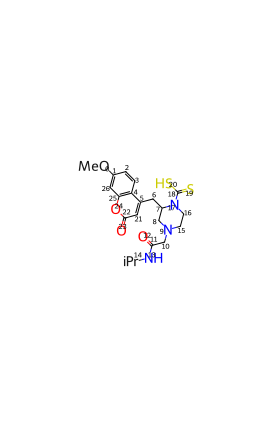 COc1ccc2c(CC3CN(CC(=O)NC(C)C)CCN3C(=S)S)cc(=O)oc2c1